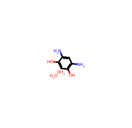 Nc1cc(N)c(O)cc1O.O.O